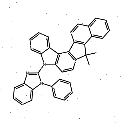 CC1(C)c2ccc3c(c2-c2ccc4ccccc4c21)c1ccccc1n3-c1nc2ccccc2n1-c1ccccc1